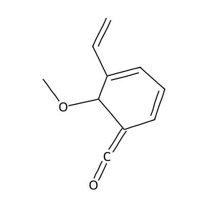 C=CC1=CC=CC(=C=O)C1OC